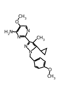 COc1ccc(Cn2nc(-c3ncc(OC)c(N)n3)c(C)c2C2CC2)cc1